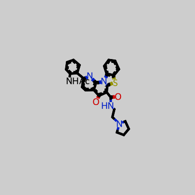 CC(=O)Nc1ccccc1-c1ccc2c(=O)c(C(=O)NCCN3CCCC3)c3sc4ccccc4n3c2n1